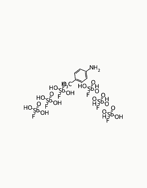 Cc1ccc(N)cc1.[O]=[Sb]([OH])([OH])[F].[O]=[Sb]([OH])([OH])[F].[O]=[Sb]([OH])([OH])[F].[O]=[Sb]([OH])([OH])[F].[O]=[Sb]([OH])([OH])[F].[O]=[Sb]([OH])([OH])[F]